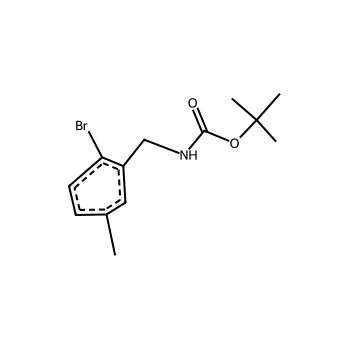 Cc1ccc(Br)c(CNC(=O)OC(C)(C)C)c1